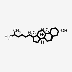 CC(C)CCCCC1CC[C@H]2C3CC=C4C[C@@H](O)CC[C@]4(C)[C@H]3CC[C@]12C